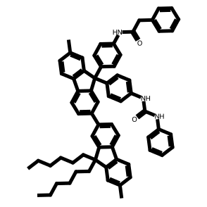 CCCCCCC1(CCCCCC)c2cc(C)ccc2-c2ccc(-c3ccc4c(c3)C(c3ccc(NC(=O)Cc5ccccc5)cc3)(c3ccc(NC(=O)Nc5ccccc5)cc3)c3cc(C)ccc3-4)cc21